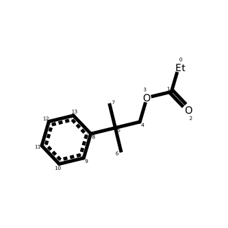 CCC(=O)OCC(C)(C)c1ccccc1